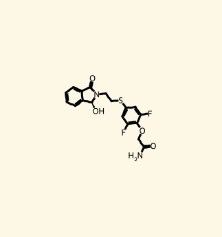 NC(=O)COc1c(F)cc(SCCN2C(=O)c3ccccc3[C@@H]2O)cc1F